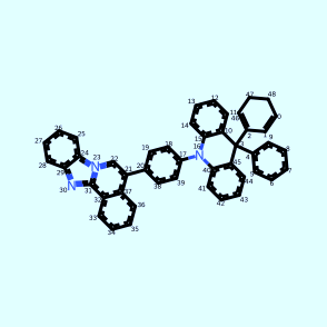 C1=CC(C2(c3ccccc3)c3ccccc3N(c3ccc(-c4cn5c6ccccc6nc5c5ccccc45)cc3)c3ccccc32)=CCC1